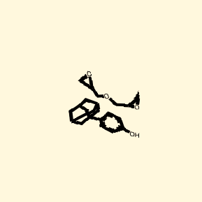 C(OCC1CO1)C1CO1.Oc1ccc(C23CC4CC(CC(C4)C2)C3)cc1